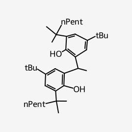 CCCCCC(C)(C)c1cc(C(C)(C)C)cc(C(C)c2cc(C(C)(C)C)cc(C(C)(C)CCCCC)c2O)c1O